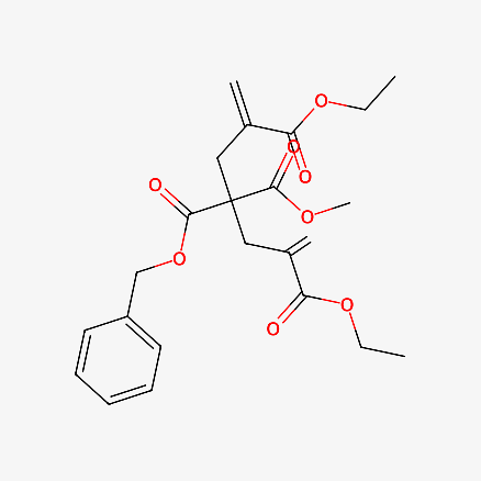 C=C(CC(CC(=C)C(=O)OCC)(C(=O)OC)C(=O)OCc1ccccc1)C(=O)OCC